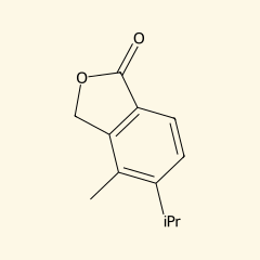 Cc1c(C(C)C)ccc2c1COC2=O